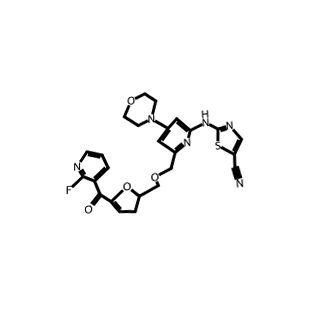 N#Cc1cnc(Nc2cc(N3CCOCC3)cc(COCC3CC=C(C(=O)c4cccnc4F)O3)n2)s1